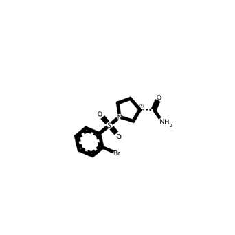 NC(=O)[C@H]1CCN(S(=O)(=O)c2ccccc2Br)C1